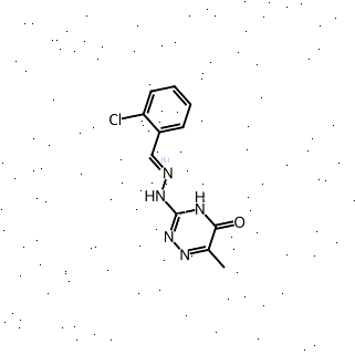 Cc1nnc(N/N=C/c2ccccc2Cl)[nH]c1=O